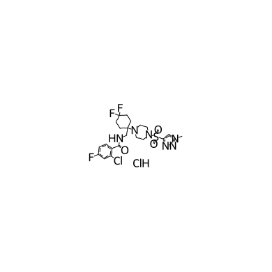 Cl.Cn1cc(S(=O)(=O)N2CCN(C3(CNC(=O)c4ccc(F)cc4Cl)CCC(F)(F)CC3)CC2)nn1